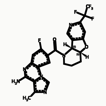 Cc1ncn2c1c(N)nc1cc(F)c(C(=O)N3CCC[C@@H]4Oc5cc(C(F)(F)C(F)(F)F)ncc5[C@@H]43)cc12